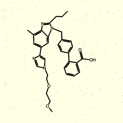 CCCc1nc2c(C)cc(-c3cn(CCOCCOC)cn3)cc2n1Cc1ccc(-c2ccccc2C(=O)O)cc1